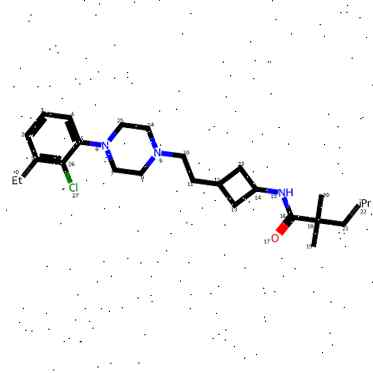 CCc1cccc(N2CCN(CCC3CC(NC(=O)C(C)(C)CC(C)C)C3)CC2)c1Cl